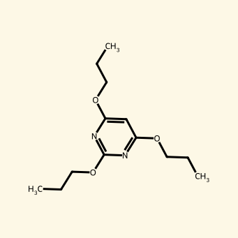 CCCOc1cc(OCCC)nc(OCCC)n1